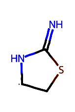 N=C1N[CH]CS1